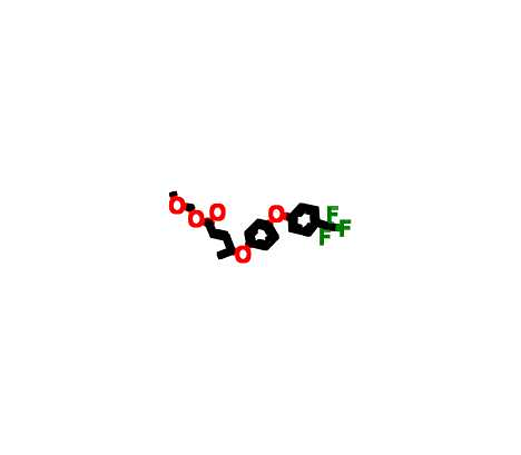 COCOC(=O)C=CC(C)Oc1ccc(Oc2ccc(C(F)(F)F)cc2)cc1